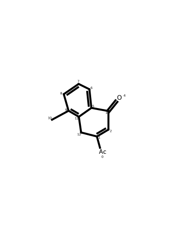 CC(=O)C1=CC(=O)c2cccc(C)c2C1